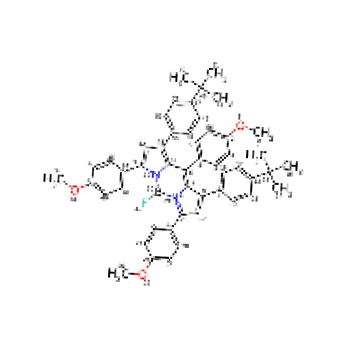 COc1ccc(C2=C3C(c4ccc(C(C)(C)C)cc4)=CC(c4ccc(OC)cc4)=[N+]3B(F)n3c(-c4ccc(OC)cc4)cc(-c4ccc(C(C)(C)C)cc4)c32)cc1